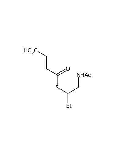 CCC(CNC(C)=O)SC(=O)CCC(=O)O